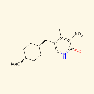 CO[C@H]1CC[C@@H](Cc2c[nH]c(=O)c([N+](=O)[O-])c2C)CC1